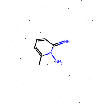 Cc1cccc(=N)n1N